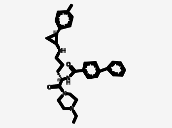 CCN1CCN(C(=O)[C@H](CCCNC2C[C@H]2c2ccc(C)cc2)NC(=O)c2ccc(-c3ccccc3)cc2)CC1